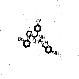 COc1ccc([C@H](NC(=O)NCc2ccc(N)cc2)C(=O)N2CCCN2c2ccccc2Br)cc1